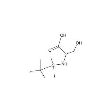 CC(C)(C)[Si](C)(C)NC(CO)C(=O)O